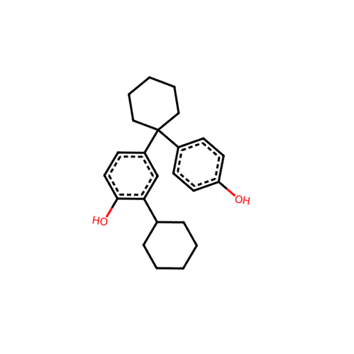 Oc1ccc(C2(c3ccc(O)c(C4CCCCC4)c3)CCCCC2)cc1